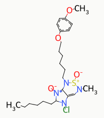 CCCCCCC1N(Cl)C2=CN(C)[S+]([O-])N(CCCCCCOc3ccc(OC)cc3)C2=[N+]1[O-]